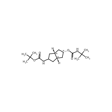 CC(C)(C)NC(=O)O[C@H]1C[C@H]2CC(NC(=O)OC(C)(C)C)C[C@H]2C1